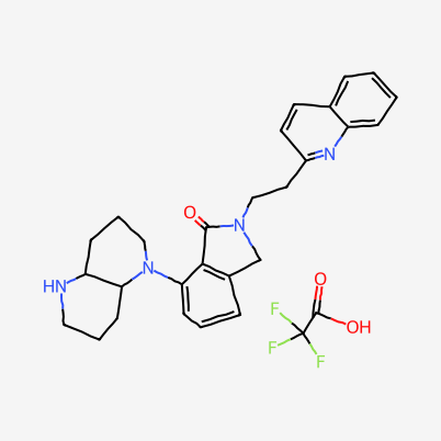 O=C(O)C(F)(F)F.O=C1c2c(cccc2N2CCCC3NCCCC32)CN1CCc1ccc2ccccc2n1